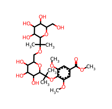 COC(=O)c1cc(OC)c(OC(C)(C)C2OC(COC(C)(C)C3OC(CO)C(O)C(O)C3O)C(O)C(O)C2O)c(OC)c1